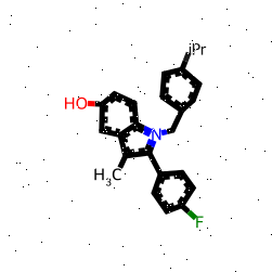 Cc1c(-c2ccc(F)cc2)n(Cc2ccc(C(C)C)cc2)c2ccc(O)cc12